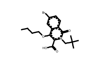 CCCCOc1c(C(=O)O)n(CC(C)(C)C)c(=O)c2ccc(Br)cc12